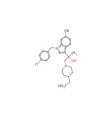 N#Cc1ccc2c(C(O)(CN3CCC(CC(=O)O)CC3)C(F)(F)F)cn(Cc3ccc(Cl)cc3)c2c1